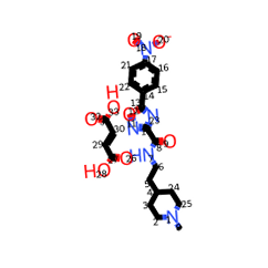 CN1CCC(CCNC(=O)c2noc(-c3ccc([N+](=O)[O-])cc3)n2)CC1.O=C(O)/C=C/C(=O)O